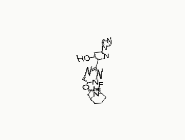 Oc1cc(-n2ccnc2)ncc1-c1ncc(O[C@@H]2CC3CCCC(N3)[C@H]2F)nn1